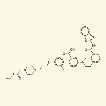 CCOC(=O)CN1CCN(CCCOc2ccc(-c3ccc(N4CCc5cccc(C(=O)Nc6nc7ccccc7s6)c5C4)nc3C(=O)O)c(C)c2)CC1